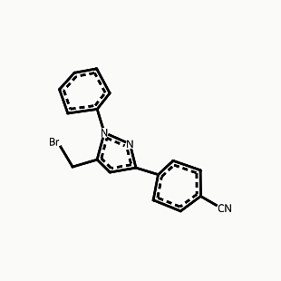 N#Cc1ccc(-c2cc(CBr)n(-c3ccccc3)n2)cc1